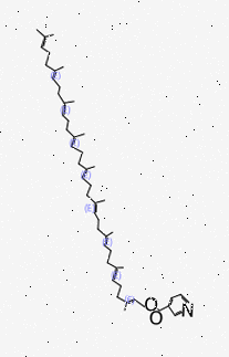 CC(C)=CCC/C(C)=C/CC/C(C)=C/CC/C(C)=C/CC/C(C)=C/CC/C(C)=C/CC/C(C)=C/CC/C(C)=C/CC/C(C)=C/COC(=O)c1cccnc1